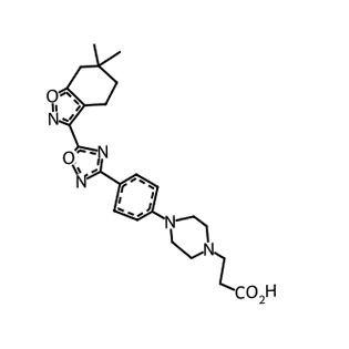 CC1(C)CCc2c(-c3nc(-c4ccc(N5CCN(CCC(=O)O)CC5)cc4)no3)noc2C1